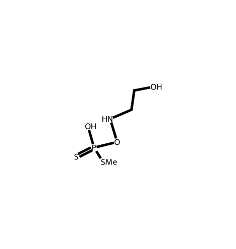 CSP(O)(=S)ONCCO